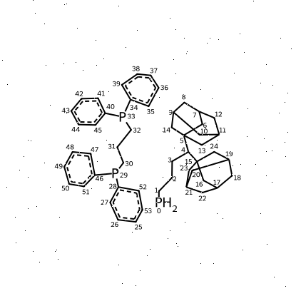 PCCCC(C12CC3CC(CC(C3)C1)C2)C12CC3CC(CC(C3)C1)C2.c1ccc(P(CCCP(c2ccccc2)c2ccccc2)c2ccccc2)cc1